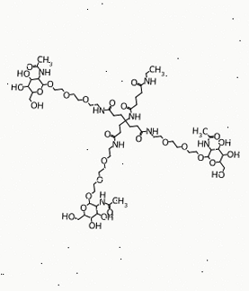 CCNC(=O)CCCC(=O)NC(CCC(=O)NCCOCCOCCOC1OC(CO)C(O)C(O)C1NC(C)=O)(CCC(=O)NCCOCCOCCOC1OC(CO)C(O)C(O)C1NC(C)=O)CCC(=O)NCCOCCOCCOC1OC(CO)C(O)C(O)C1NC(C)=O